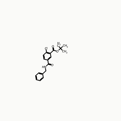 CC(C)(C)OC(=O)c1cc(C(=O)NCc2ccccc2)ccc1Cl